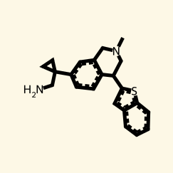 CN1Cc2cc(C3(CN)CC3)ccc2C(c2cc3ccccc3s2)C1